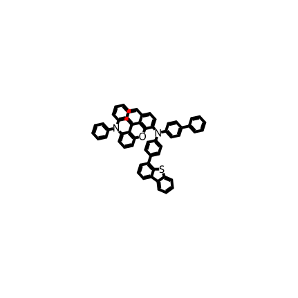 c1ccc(-c2ccc(N(c3ccc(-c4cccc5c4sc4ccccc45)cc3)c3ccc4cccc5c4c3Oc3cccc(N(c4ccccc4)c4ccccc4)c3-5)cc2)cc1